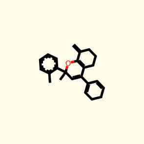 C=C1CCCC2=C1OC(C)(c1ccccc1C)C=C2C1=CCCC=C1